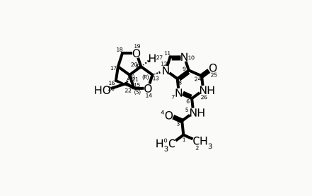 CC(C)C(=O)Nc1nc2c(ncn2[C@@H]2O[C@@]34CC5CO[C@@H]2[C@]53C4O)c(=O)[nH]1